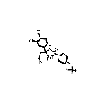 O=S(=O)(NC1(c2ccc(Cl)c(Cl)c2)CCNCC1)c1ccc(OC(F)(F)F)cc1